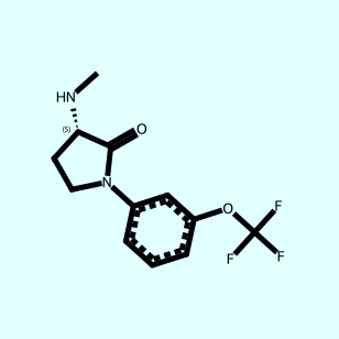 CN[C@H]1CCN(c2cccc(OC(F)(F)F)c2)C1=O